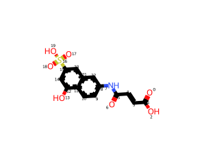 O=C(O)C=CC(=O)Nc1ccc2c(O)cc(S(=O)(=O)O)cc2c1